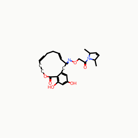 CC1C=CC(C)N1C(=O)CON=C1/C=C/CC/C=C/CCOC(=O)c2c(O)cc(O)cc2C1